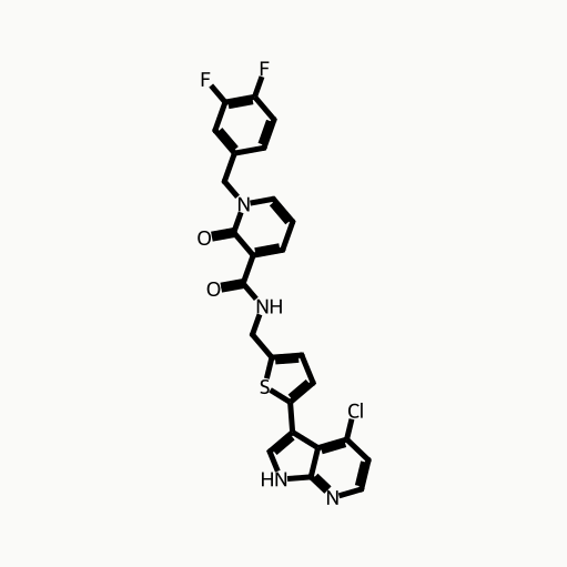 O=C(NCc1ccc(-c2c[nH]c3nccc(Cl)c23)s1)c1cccn(Cc2ccc(F)c(F)c2)c1=O